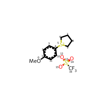 COc1ccc([S+]2CCCC2)cc1.O=S(=O)([O-])C(F)(F)F